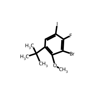 COc1c(C(C)(C)C)cc(I)c(F)c1Br